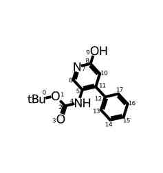 CC(C)(C)OC(=O)Nc1cnc(O)cc1-c1ccccc1